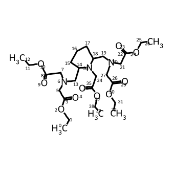 CCOC(=O)CN(CC(=O)OCC)CC1CCCC(CN(CC(=O)OCC)CC(=O)OCC)N1CC(=O)OCC